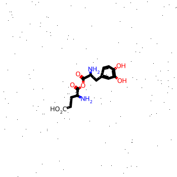 NC(CCC(=O)O)C(=O)OC(=O)C(N)Cc1ccc(O)c(O)c1